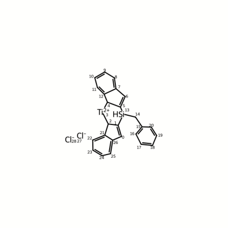 C1=C2[CH]([Ti+2][CH]3C(=Cc4ccccc43)[SiH]2Cc2ccccc2)c2ccccc21.[Cl-].[Cl-]